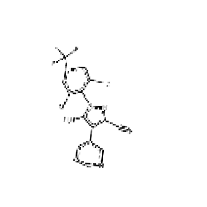 N#Cc1nn(-c2c(Cl)cc(C(F)(F)F)cc2Cl)c(N)c1-c1cccnc1